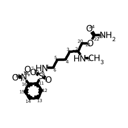 CNC(CCCCNS(=O)(=O)c1ccccc1[N+](=O)[O-])COC(N)=O